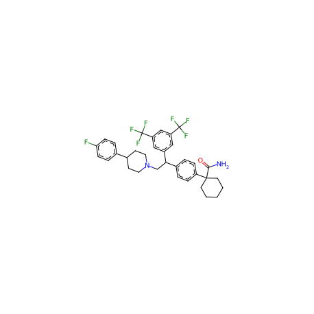 NC(=O)C1(c2ccc(C(CN3CCC(c4ccc(F)cc4)CC3)c3cc(C(F)(F)F)cc(C(F)(F)F)c3)cc2)CCCCC1